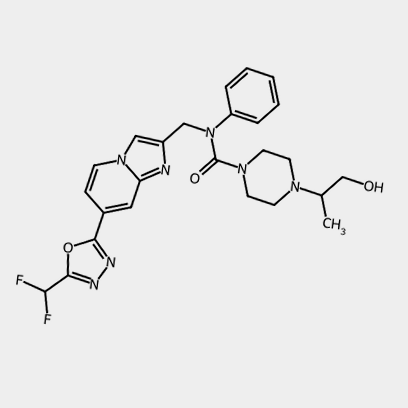 CC(CO)N1CCN(C(=O)N(Cc2cn3ccc(-c4nnc(C(F)F)o4)cc3n2)c2ccccc2)CC1